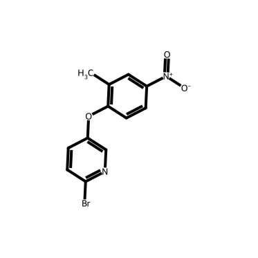 Cc1cc([N+](=O)[O-])ccc1Oc1ccc(Br)nc1